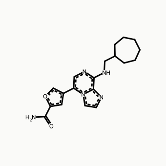 NC(=O)c1cc(-c2cnc(NCC3CCCCCC3)c3nccn23)co1